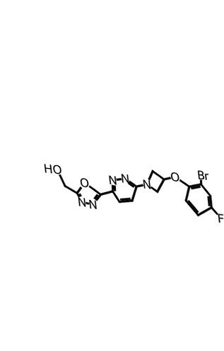 OCc1nnc(-c2ccc(N3CC(Oc4ccc(F)cc4Br)C3)nn2)o1